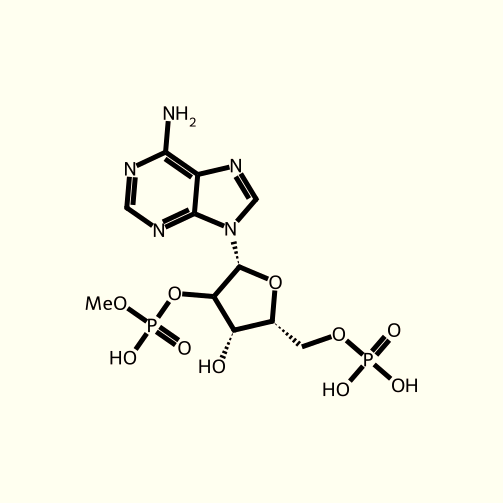 COP(=O)(O)OC1[C@@H](O)[C@@H](COP(=O)(O)O)O[C@H]1n1cnc2c(N)ncnc21